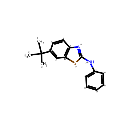 CC(C)(C)c1ccc2nc(Nc3ccccc3)sc2c1